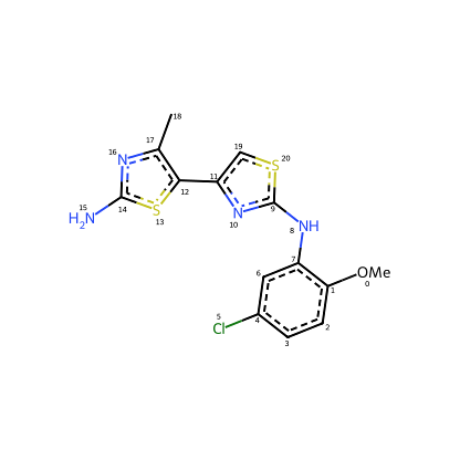 COc1ccc(Cl)cc1Nc1nc(-c2sc(N)nc2C)cs1